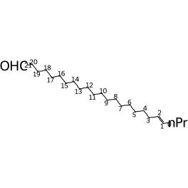 CCCC=CCCCCCCCCCCCCCCCCCCC=O